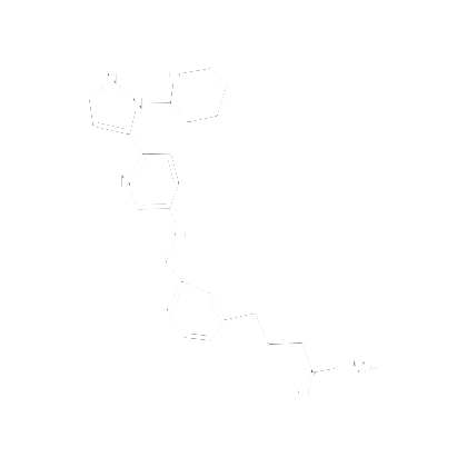 COC(=O)CCCc1cccc(COc2ccc(-c3ccnn3C3CCCCO3)nc2)c1